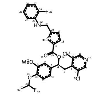 COc1cc([C@H](Cc2c(Cl)cncc2Cl)OC(=O)c2ccc(CNc3ccccc3F)s2)ccc1OC(F)F